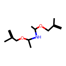 C=C(C)COC(C)NC(C)OCC(=C)C